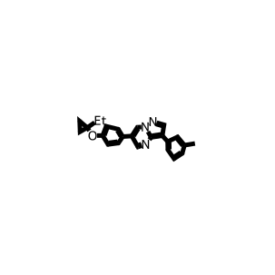 CCC1(Oc2ccc(-c3cnc4c(-c5cccc(C)c5)cnn4c3)cc2)CC1